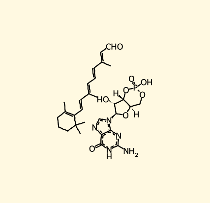 CC1=C(/C=C/C(C)=C/C=C/C(C)=C/C=O)C(C)(C)CCC1.Nc1nc2c(ncn2[C@@H]2O[C@@H]3COP(=O)(O)O[C@H]3[C@H]2O)c(=O)[nH]1